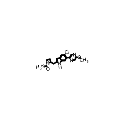 COc1cnc(-c2cc3[nH]c(CC4CCN4C(N)=O)cc3cc2Cl)cn1